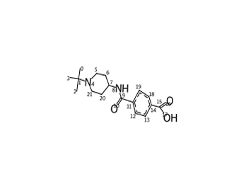 CC(C)(C)N1CCC(NC(=O)c2ccc(C(=O)O)cc2)CC1